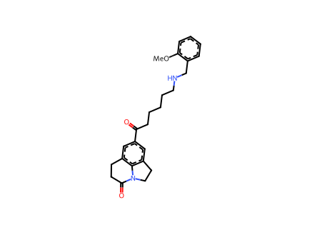 COc1ccccc1CNCCCCCC(=O)c1cc2c3c(c1)CCN3C(=O)CC2